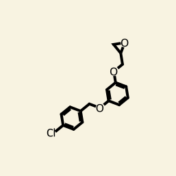 Clc1ccc(COc2cccc(OCC3CO3)c2)cc1